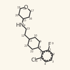 Fc1cccc(Cl)c1C1CCC(CCNC2CCOCC2)CC1